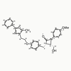 COc1ccc(N2C(=O)[C@@H](Cc3ccc(OCCc4nc(-c5ccccc5)oc4C)cc3)[C@H]2CO)cc1